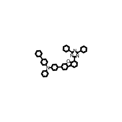 c1ccc(-c2ccc(N(c3ccccc3)c3ccc(-c4ccc5c(c4)oc4c(-c6nc(-c7ccccc7)nc(-c7ccccc7)n6)cccc45)cc3)cc2)cc1